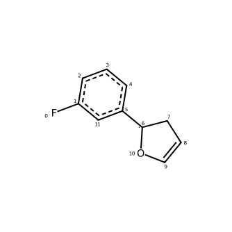 Fc1cccc([C]2CC=CO2)c1